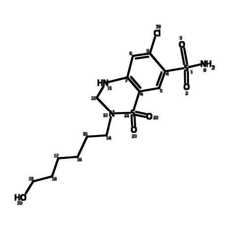 NS(=O)(=O)c1cc2c(cc1Cl)NCN(CCCCCCO)S2(=O)=O